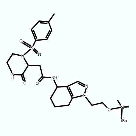 Cc1ccc(S(=O)(=O)N2CCNC(=O)C2CC(=O)NC2CCCc3c2cnn3CCO[Si](C)(C)C(C)(C)C)cc1